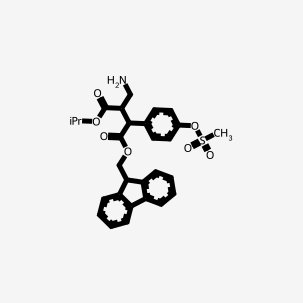 CC(C)OC(=O)C(CN)C(C(=O)OCC1c2ccccc2-c2ccccc21)c1ccc(OS(C)(=O)=O)cc1